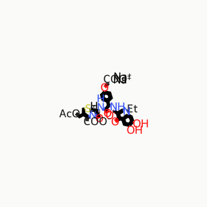 CCn1cc(C(=O)NC(C(=O)N[C@@H]2C(=O)N3C(C(=O)[O-])=C(COC(C)=O)CS[C@@H]23)c2ccc(OCC(=O)[O-])cc2)c(=O)c2cc(O)c(O)cc21.[Na+].[Na+]